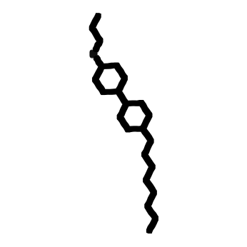 CCCCCCCCC1CCC(C2CCC(OCCC)CC2)CC1